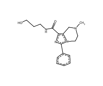 CN1CCn2c(-c3ccccc3)nc(C(=O)NCCCO)c2C1